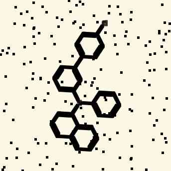 Clc1ccc(-c2cccc(N(c3ccccc3)c3cccc4ccccc34)c2)cc1